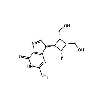 Nc1nc2c(ncn2[C@@H]2[C@@H](F)[C@H](CO)[C@H]2CO)c(=O)[nH]1